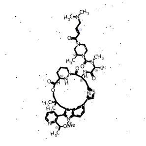 CCn1c(-c2cccnc2[C@H](C)OC)c2c3cc(ccc31)-c1csc(n1)C[C@H](NC(=O)[C@H](C(C)C)N(C)C(=O)N1CCN(C(=O)/C=C/CN(C)C)C[C@@H]1C)C(=O)N1CCC[C@H](N1)C(=O)OCC(C)(C)C2